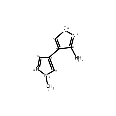 Cn1cc(-c2c[nH]nc2N)cn1